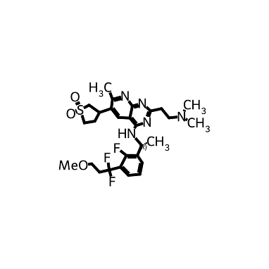 COCCC(F)(F)c1cccc([C@@H](C)Nc2nc(CCN(C)C)nc3nc(C)c(C4CCS(=O)(=O)C4)cc23)c1F